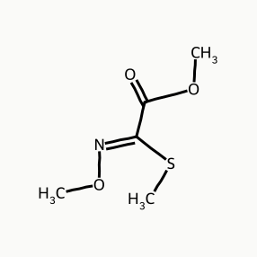 CO/N=C(\SC)C(=O)OC